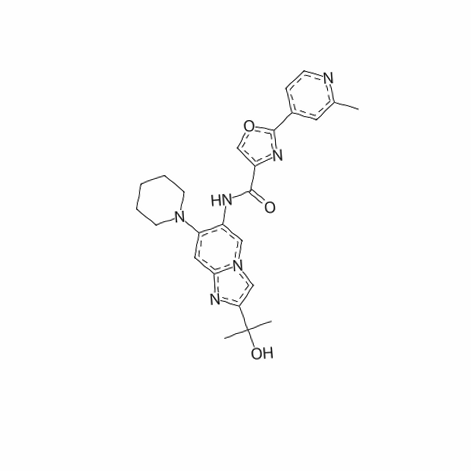 Cc1cc(-c2nc(C(=O)Nc3cn4cc(C(C)(C)O)nc4cc3N3CCCCC3)co2)ccn1